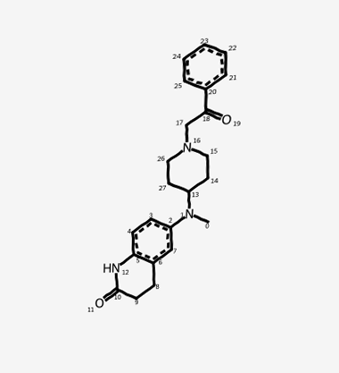 CN(c1ccc2c(c1)CCC(=O)N2)C1CCN(CC(=O)c2ccccc2)CC1